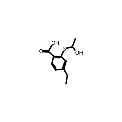 CCc1ccc(C(=O)O)c(SC(C)O)c1